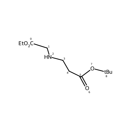 CCOC(=O)CNCCC(=O)OC(C)(C)C